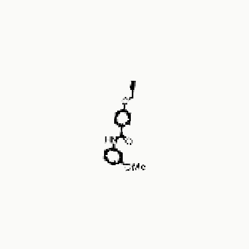 C#CCOc1ccc(C(=O)Nc2cccc(OC)c2)cc1